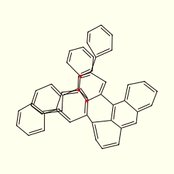 c1ccc(-c2cc(-c3ccccc3)cc(-c3cccc4cc5ccccc5c(-c5cc(-c6ccccc6)cc(-c6ccccc6)c5)c34)c2)cc1